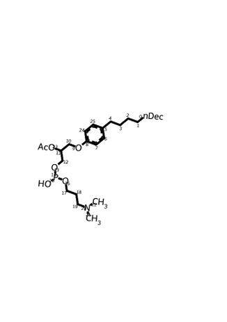 CCCCCCCCCCCCCCc1ccc(OCC(COP(O)OCCCN(C)C)OC(C)=O)cc1